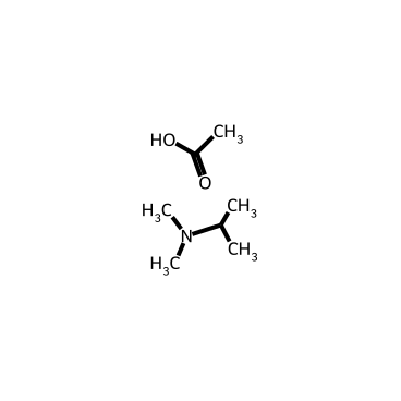 CC(=O)O.CC(C)N(C)C